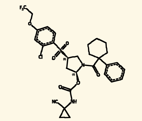 N#CC1(NC(=O)O[C@H]2C[C@@H](S(=O)(=O)c3ccc(OCC(F)(F)F)cc3Cl)CN2C(=O)C2(c3ccccc3)CCCCC2)CC1